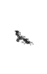 COC(=O)N[C@H](C(=O)N1CCC[C@H]1c1ncc(-c2cc(F)c3c(c2)OC(c2ccc4c(c2)OCCC4)n2c-3cc3cc(-c4cnc([C@@H]5C[C@H]6C[C@H]6N5)[nH]4)ccc32)[nH]1)C(C)C